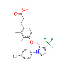 Cc1c(CCC(=O)O)ccc(OCc2c(C(F)(F)F)ccn2-c2ccc(Cl)cc2)c1C